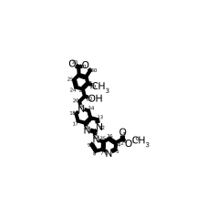 COC(=O)c1cnc2ccn(-c3ncc4c(n3)CCN(CC(O)c3ccc5c(c3C)COC5=O)C4)c2c1